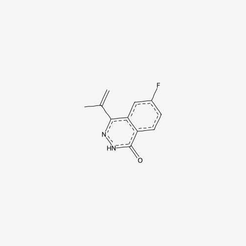 C=C(C)c1n[nH]c(=O)c2ccc(F)cc12